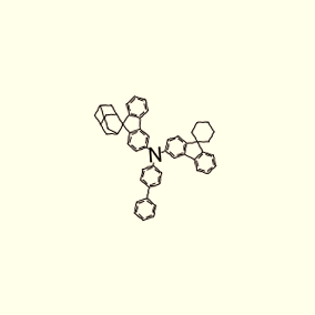 c1ccc(-c2ccc(N(c3ccc4c(c3)-c3ccccc3C43CCCCC3)c3ccc4c(c3)-c3ccccc3C43C4CC5CC(C4)CC3C5)cc2)cc1